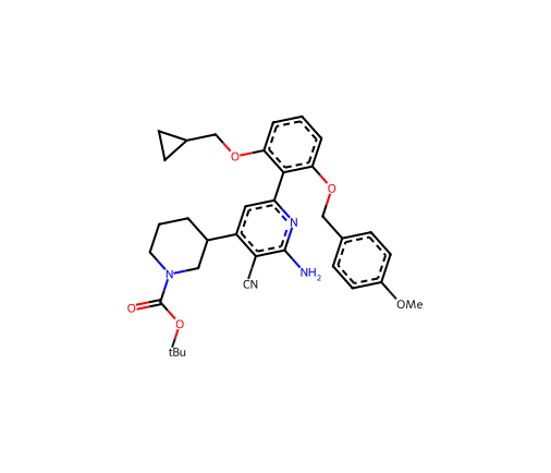 COc1ccc(COc2cccc(OCC3CC3)c2-c2cc(C3CCCN(C(=O)OC(C)(C)C)C3)c(C#N)c(N)n2)cc1